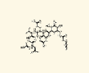 CC(=O)CNC(=O)[C@H](CC(=O)O)NC(=O)[C@@H](NC(=O)[C@H](CCC(=O)O)NC(=O)[C@H](CC(=O)O)NC(=O)C1OC(CNC(=O)CN=[N+]=[N-])C(O)C(O)C1O)C(C)C